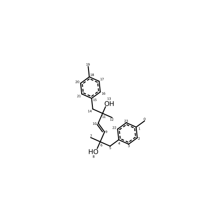 Cc1ccc(CC(C)(O)C=CC(C)(O)Cc2ccc(C)cc2)cc1